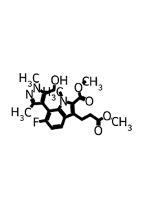 COC(=O)CCc1c(C(=O)OC)n(C)c2c(-c3c(C)nn(C)c3CO)c(F)ccc12